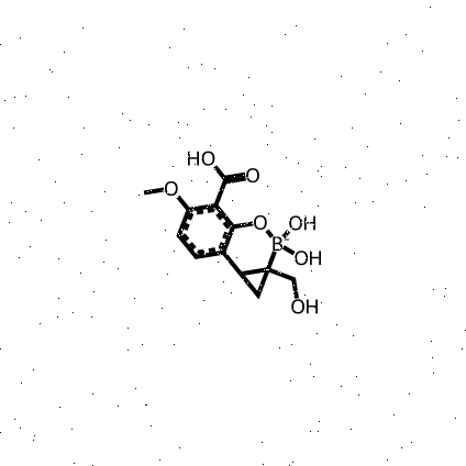 COc1ccc2c(c1C(=O)O)O[B-](O)(O)C1(CO)CC21